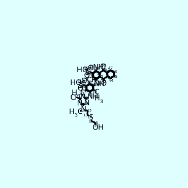 Cc1c(Nc2nc(Cl)nc(N(C)CCSCCO)n2)c(C)c(S(=O)(=O)O)c(C)c1Nc1cc(S(=O)(=O)O)c(N)c2c1C(=O)c1ccccc1C2=O